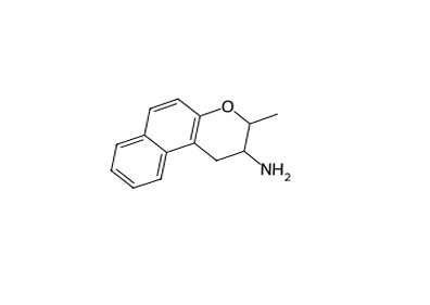 CC1Oc2ccc3ccccc3c2CC1N